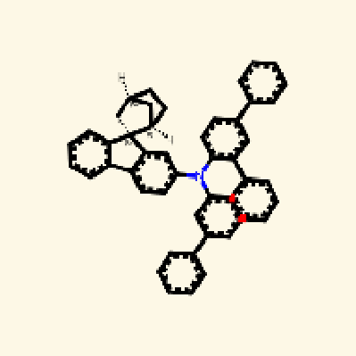 c1ccc(-c2cccc(N(c3ccc4c(c3)[C@@]3(C[C@H]5CC[C@@H]3C5)c3ccccc3-4)c3ccc(-c4ccccc4)cc3-c3ccccc3)c2)cc1